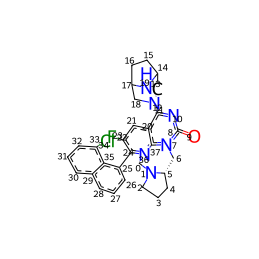 CN1CCC[C@H]1Cn1c(=O)nc(N2CC3CCC(C2)N3)c2cc(F)c(-c3cccc4cccc(Cl)c34)nc21